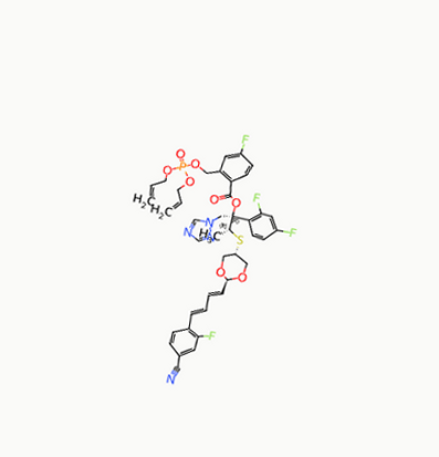 C=CCOP(=O)(OCC=C)OCc1cc(F)ccc1C(=O)O[C@@](Cn1cncn1)(c1ccc(F)cc1F)[C@@H](C)S[C@H]1CO[C@H](C=CC=Cc2ccc(C#N)cc2F)OC1